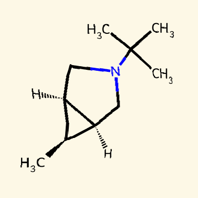 C[C@H]1[C@H]2CN(C(C)(C)C)C[C@@H]12